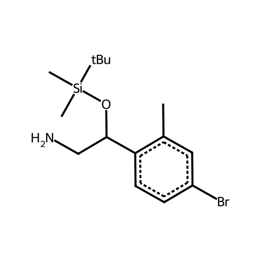 Cc1cc(Br)ccc1C(CN)O[Si](C)(C)C(C)(C)C